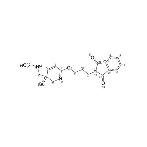 CC(C)(C)C1(CNC(=O)O)C=CC(OCCCN2C(=O)c3ccccc3C2=O)=NC1